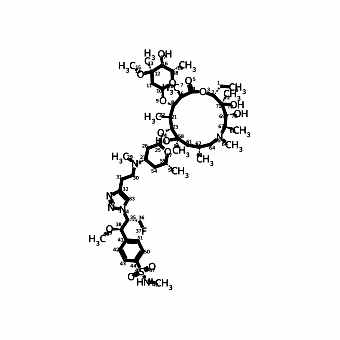 CC[C@H]1OC(=O)[C@H](C)[C@@H](O[C@H]2C[C@@](C)(OC)[C@@H](O)[C@H](C)O2)[C@H](C)[C@@H](O[C@H]2C[C@@H](N(C)CCc3cn([C@H](CF)[C@H](OC)c4ccc(S(=O)(=O)NC)cc4)nn3)C[C@@H](C)O2)[C@](C)(O)C[C@@H](C)CN(C)[C@H](C)[C@@H](O)[C@]1(C)O